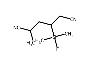 CC(C#N)CC(CC#N)[Si](C)(C)F